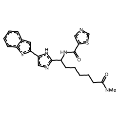 CNC(=O)CCCCCC(NC(=O)c1cncs1)c1ncc(-c2cc3ccccc3s2)[nH]1